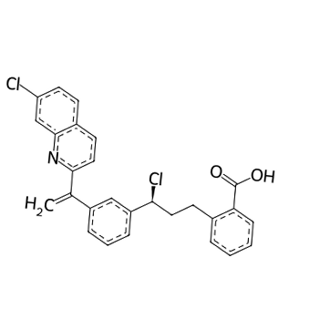 C=C(c1cccc([C@@H](Cl)CCc2ccccc2C(=O)O)c1)c1ccc2ccc(Cl)cc2n1